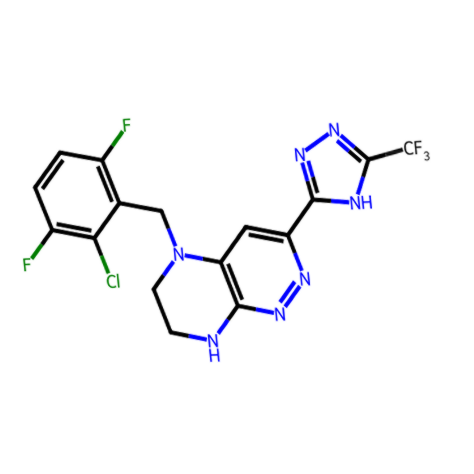 Fc1ccc(F)c(CN2CCNc3nnc(-c4nnc(C(F)(F)F)[nH]4)cc32)c1Cl